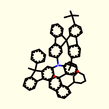 CC(C)(C)c1ccc2c(c1)C1(c3ccccc3-c3ccc(N(c4ccc5c(c4)C(C)(c4ccccc4)c4ccccc4-5)c4ccccc4-c4cccc5cccc(C6CCCCC6)c45)cc31)c1cc(C(C)(C)C)ccc1-2